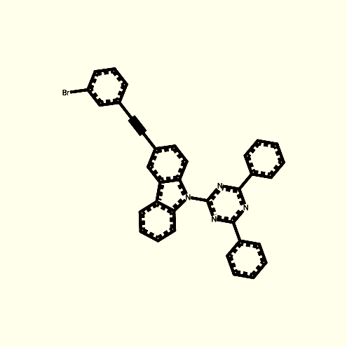 Brc1cccc(C#Cc2ccc3c(c2)c2ccccc2n3-c2nc(-c3ccccc3)nc(-c3ccccc3)n2)c1